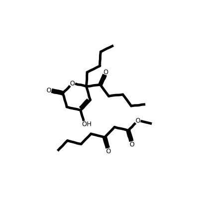 CCCCC(=O)C1(CCCC)C=C(O)CC(=O)O1.CCCCC(=O)CC(=O)OC